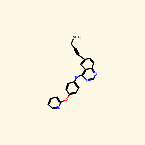 CC(=O)NCC#Cc1ccc2ncnc(Nc3ccc(Oc4ccccn4)cc3)c2c1